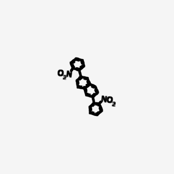 O=[N+]([O-])c1ccccc1-c1ccc2cc(-c3ccccc3[N+](=O)[O-])ccc2c1